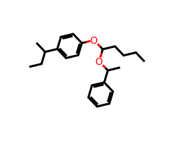 CCCCC(Oc1ccc(C(C)CC)cc1)OC(C)c1ccccc1